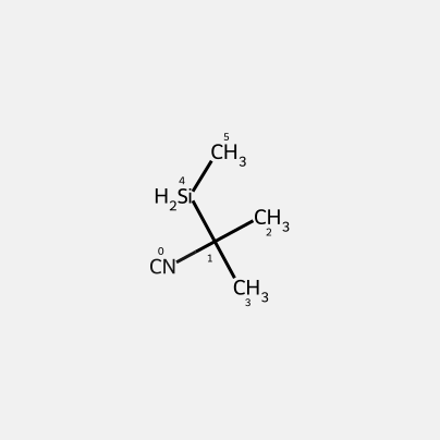 [C-]#[N+]C(C)(C)[SiH2]C